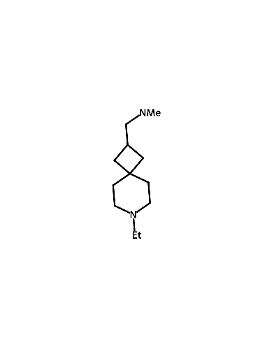 CCN1CCC2(CC1)CC(CNC)C2